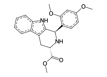 COC(=O)[C@@H]1Cc2c([nH]c3ccccc23)[C@@H](c2ccc(OC)cc2OC)N1